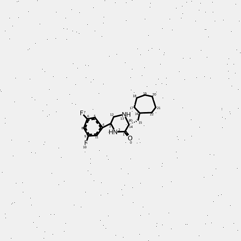 O=C1NC(c2cc(F)cc(F)c2)CN[C@@H]1CC1CCCCCC1